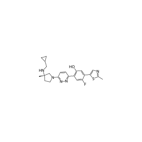 Cc1ncc(-c2cc(O)c(-c3ccc(N4CC[C@](C)(NCC5CC5)C4)nn3)cc2F)s1